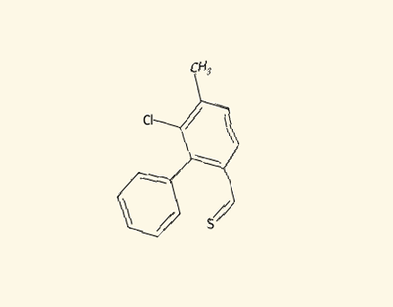 Cc1ccc(C=S)c(-c2ccccc2)c1Cl